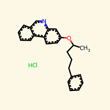 CC(CCCc1ccccc1)Oc1ccc2c(c1)ncc1ccccc12.Cl